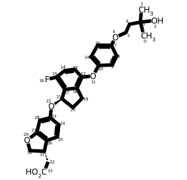 CC(C)(O)CCOc1ccc(Oc2ccc(F)c3c2CC[C@H]3Oc2ccc3c(c2)OC[C@H]3CC(=O)O)cc1